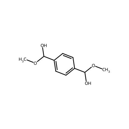 COC(O)c1ccc(C(O)OC)cc1